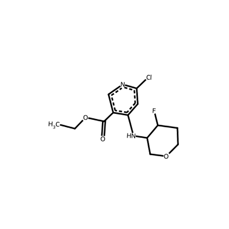 CCOC(=O)c1cnc(Cl)cc1NC1COCCC1F